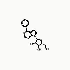 OC[C@H]1O[C@@H](n2ccc3c(-c4ccccc4)ncnc32)[C@H](O)[C@@H]1O